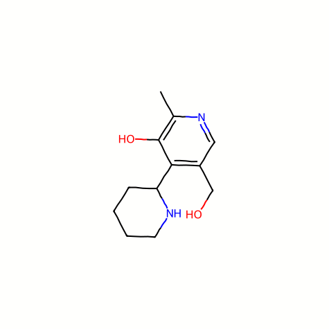 Cc1ncc(CO)c(C2CCCCN2)c1O